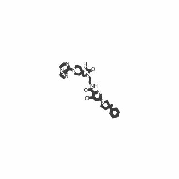 CC1(c2ccccc2)CCN(c2cnc(C(=O)NCCN3CC4(CCN(c5nccn6ccnc56)CC4)NC3=O)c(Cl)c2)C1